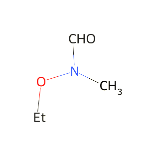 CCON(C)C=O